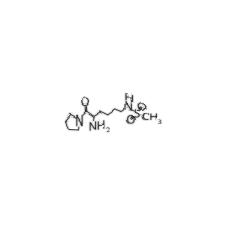 CS(=O)(=O)NCCCCC(N)C(=O)N1CCCC1